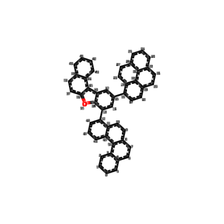 c1ccc2c(c1)ccc1ccc3c(-c4cc(-c5ccc6ccc7cccc8ccc5c6c78)cc5c4oc4ccc6ccccc6c45)cccc3c12